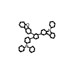 c1ccc(N(c2ccccc2)c2cccc(-c3ccc(-c4ccc5c(c4)c4ccccc4n5-c4ccccc4)cc3-c3ccc4c(c3)oc3ccccc34)c2)cc1